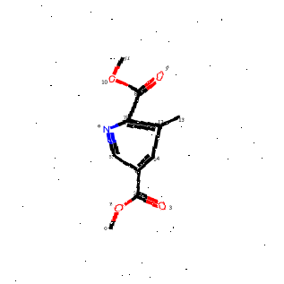 COC(=O)c1cnc(C(=O)OC)c(C)c1